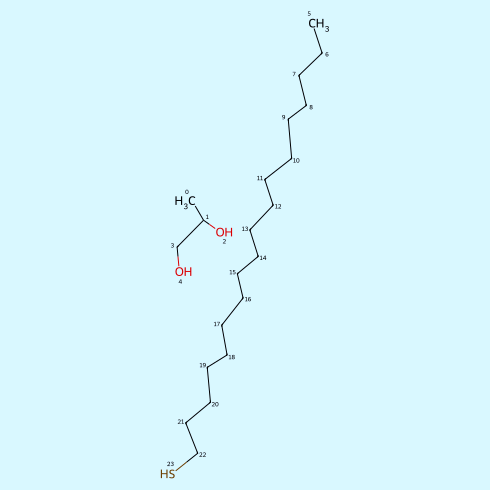 CC(O)CO.CCCCCCCCCCCCCCCCCCS